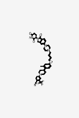 Cc1cc(OCCCCN2CCN(c3ccc4c(c3)CN(C3CCC(=O)NC3=O)C4=O)CC2)ccc1C1CCN(c2ccc(C#N)c(C(F)(F)F)c2)CC1